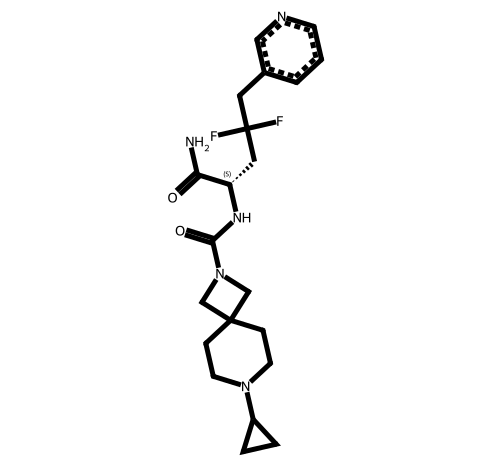 NC(=O)[C@H](CC(F)(F)Cc1cccnc1)NC(=O)N1CC2(CCN(C3CC3)CC2)C1